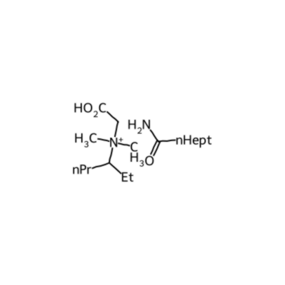 CCCC(CC)[N+](C)(C)CC(=O)O.CCCCCCCC(N)=O